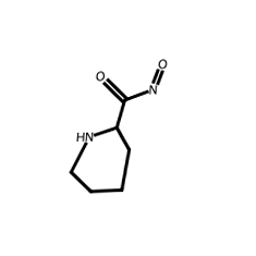 O=NC(=O)C1CCCCN1